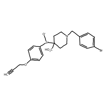 C#CCOc1ccc([S+]([O-])C2(C(=O)O)CCN(Cc3ccc(Br)cc3)CC2)cc1